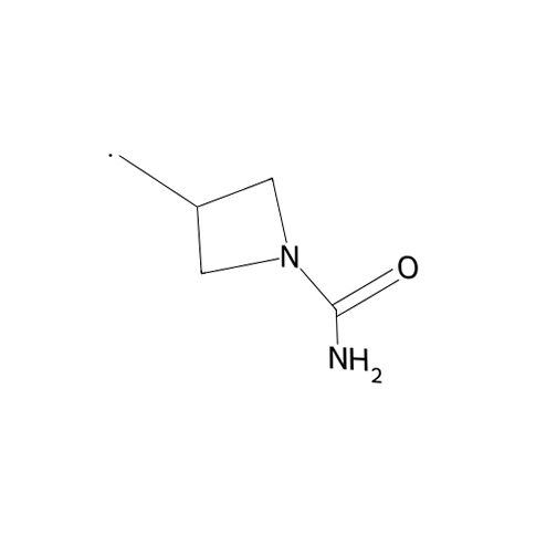 [CH2]C1CN(C(N)=O)C1